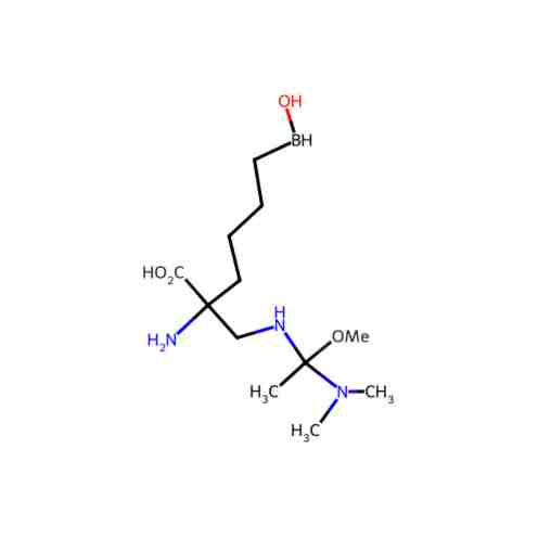 COC(C)(NCC(N)(CCCCBO)C(=O)O)N(C)C